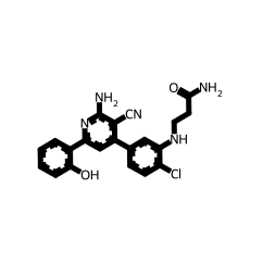 N#Cc1c(-c2ccc(Cl)c(NCCC(N)=O)c2)cc(-c2ccccc2O)nc1N